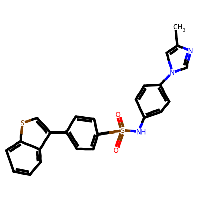 Cc1cn(-c2ccc(NS(=O)(=O)c3ccc(-c4csc5ccccc45)cc3)cc2)cn1